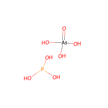 O=[As](O)(O)O.OP(O)O